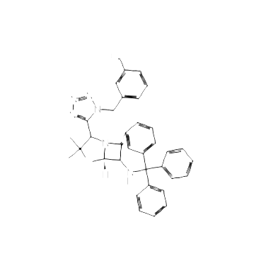 CC1(C)S[C@H]2C(NC(c3ccccc3)(c3ccccc3)c3ccccc3)C(=O)N2C1c1nnnn1Cc1cccc(Cl)c1